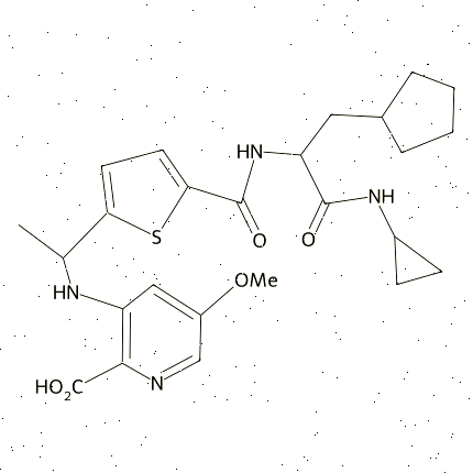 COc1cnc(C(=O)O)c(NC(C)c2ccc(C(=O)NC(CC3CCCC3)C(=O)NC3CC3)s2)c1